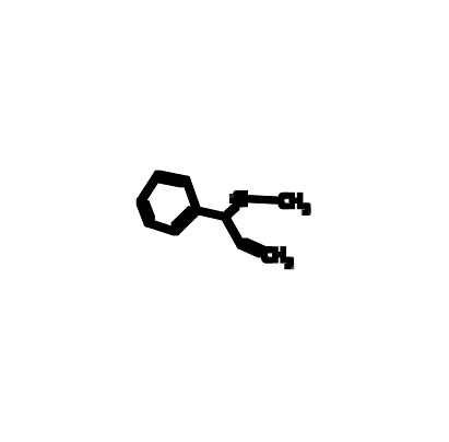 C=CC([Si]C)c1ccccc1